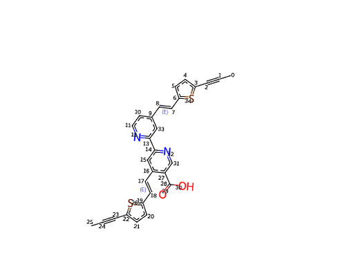 CC#Cc1ccc(/C=C/c2ccnc(-c3cc(/C=C/c4ccc(C#CC)s4)c(C(=O)O)cn3)c2)s1